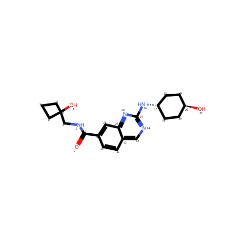 O=C(NCC1(O)CCC1)c1ccc2cnc(N[C@H]3CC[C@H](O)CC3)nc2c1